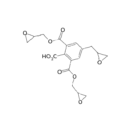 O=C(OCC1CO1)c1cc(CC2CO2)cc(C(=O)OCC2CO2)c1C(=O)O